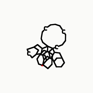 C1CCCCCCC(C2CC3CCCC(C3)C2)(C2CC3CCCC(C3)C2)C(C2CC3CCCC(C3)C2)(C2CC3CCCC(C3)C2)CCCCC1